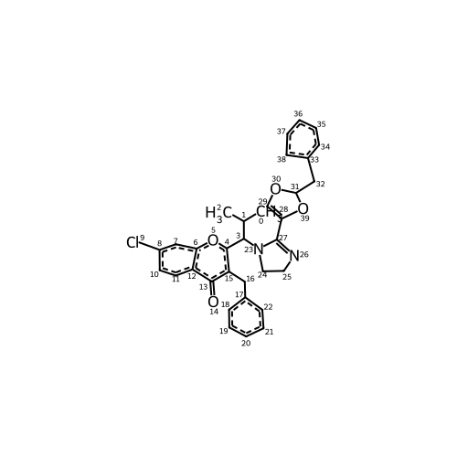 CC(C)C(c1oc2cc(Cl)ccc2c(=O)c1Cc1ccccc1)N1CCN=C1C1=COC(Cc2ccccc2)O1